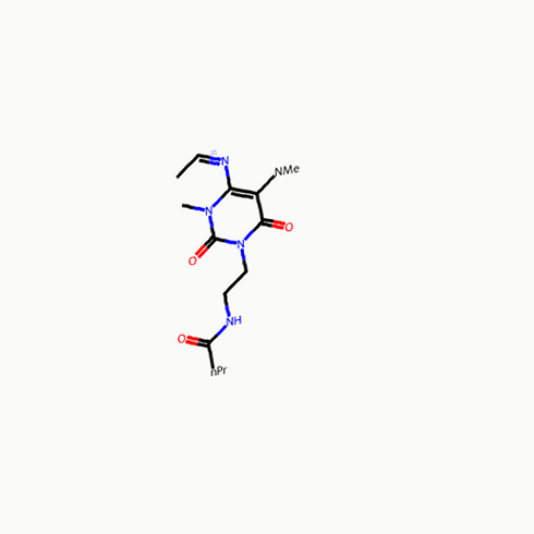 C/C=N\c1c(NC)c(=O)n(CCNC(=O)CCC)c(=O)n1C